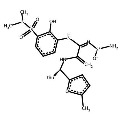 C=C(N[C@@H](c1ccc(C)o1)C(C)(C)C)/C(=N\[S+](N)[O-])Nc1cccc(S(=O)(=O)N(C)C)c1O